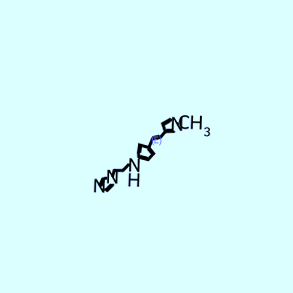 Cn1ccc(/C=C/c2ccc(NCCCn3ccnc3)cc2)c1